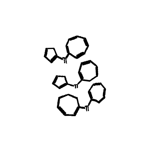 C1=CC=C[C]([Ti][C]2=CC=CC2)=CC=C1.C1=CC=[C]([Ti][C]2=CC=CC2)CC=C1.C1=CC=[C]([Ti][C]2=CC=CCCC2)CC=C1